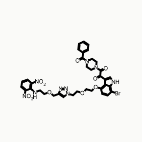 O=C(C(=O)N1CCN(C(=O)c2ccccc2)CC1)c1c[nH]c2c(Br)ccc(OCCOCCn3cc(COCCNc4c([N+](=O)[O-])cccc4[N+](=O)[O-])nn3)c12